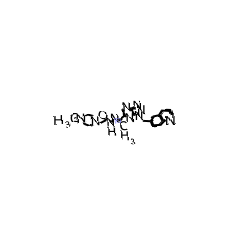 C/C(=N\NC(=O)CN1CCN(C)CC1)c1cnc2nnn(Cc3ccc4ncccc4c3)c2n1